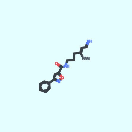 CN/C(=C\C=N)CCCNC(=O)c1cc(-c2ccccc2)no1